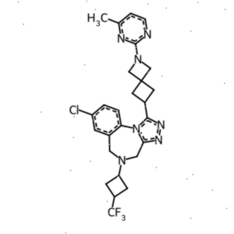 Cc1ccnc(N2CC3(CC(c4nnc5n4-c4ccc(Cl)cc4CN(C4CC(C(F)(F)F)C4)C5)C3)C2)n1